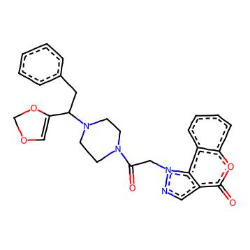 O=C(Cn1ncc2c(=O)oc3ccccc3c21)N1CCN(C(Cc2ccccc2)C2=COCO2)CC1